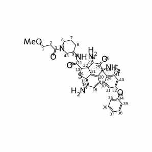 COCCC(=O)N1CCCC(NC(=O)C2Sc3c(N)ccc4c3C2C(N)C(=O)C4(N)c2ccc(Oc3ccccc3)cc2F)C1